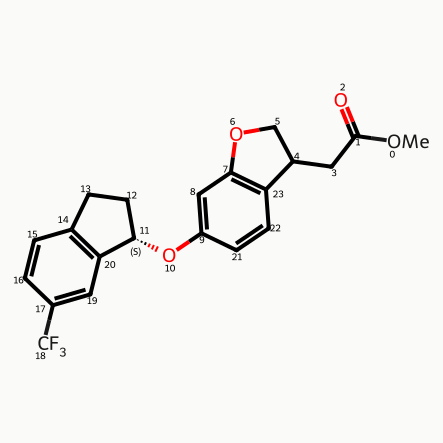 COC(=O)CC1COc2cc(O[C@H]3CCc4ccc(C(F)(F)F)cc43)ccc21